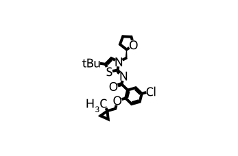 CC1(COc2ccc(Cl)cc2C(=O)N=c2sc(C(C)(C)C)cn2C[C@H]2CCCO2)CC1